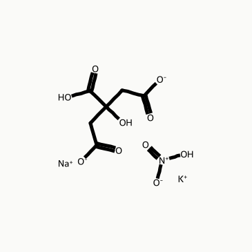 O=C([O-])CC(O)(CC(=O)[O-])C(=O)O.O=[N+]([O-])O.[K+].[Na+]